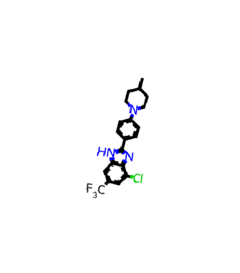 CC1CCN(c2ccc(-c3nc4c(Cl)cc(C(F)(F)F)cc4[nH]3)cc2)CC1